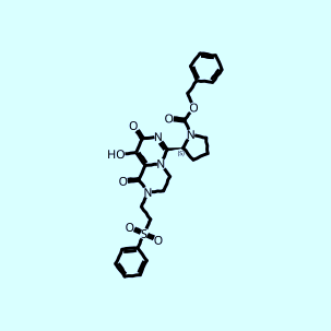 O=C1c2c(O)c(=O)nc([C@@H]3CCCN3C(=O)OCc3ccccc3)n2CCN1CCS(=O)(=O)c1ccccc1